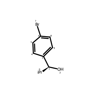 CC(C)[C@H](O)c1ccc(Br)cc1